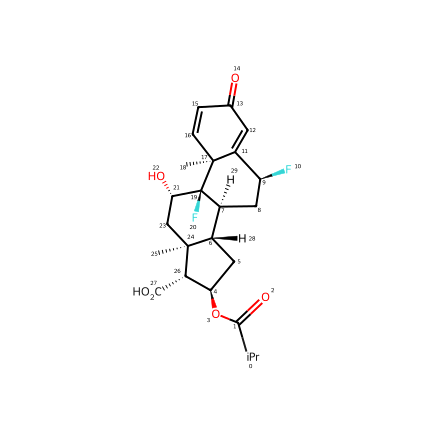 CC(C)C(=O)O[C@@H]1C[C@H]2[C@@H]3C[C@H](F)C4=CC(=O)C=C[C@]4(C)[C@@]3(F)[C@@H](O)C[C@]2(C)[C@H]1C(=O)O